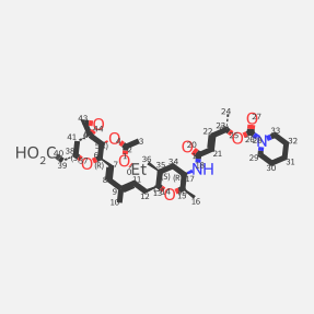 CCOC(C)O[C@@H]1[C@@H](C=CC(C)=CC[C@@H]2O[C@H](C)[C@H](NC(=O)C=C[C@H](C)OC(=O)N3CCCCC3)C[C@@H]2C)O[C@H](CC(=O)O)C[C@@]12CO2